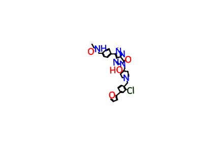 CC(=O)NCc1ccc(-c2c3ncn(CC4(O)CCN(Cc5ccc(-c6ccco6)cc5Cl)CC4)c(=O)c3nn2C)cc1